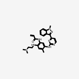 C=CC(=O)Nc1cc(Nc2nccc(-c3nn(C)c4ccccc34)n2)c(C)cc1NCCN(C)C